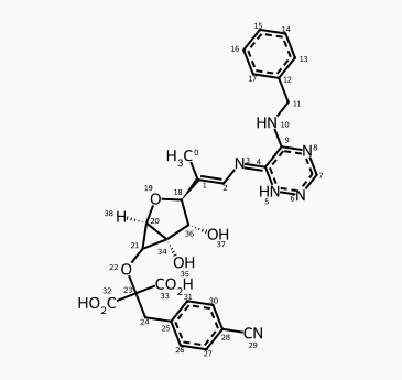 C/C(=C\N=c1/[nH]ncnc1NCc1ccccc1)[C@@H]1O[C@@H]2C(OC(Cc3ccc(C#N)cc3)(C(=O)O)C(=O)O)[C@]2(O)[C@H]1O